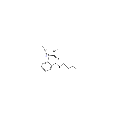 CCCCOCc1ccccc1/C(=C/OC)C(=O)OC